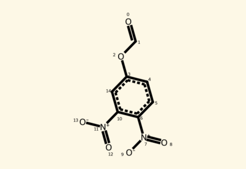 O=COc1ccc([N+](=O)[O-])c([N+](=O)[O-])c1